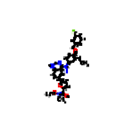 C=Cc1cc(Nc2ncnc3ccc(-c4ccc(C(=O)N(C)OC)o4)cc23)ccc1OCc1cccc(F)c1